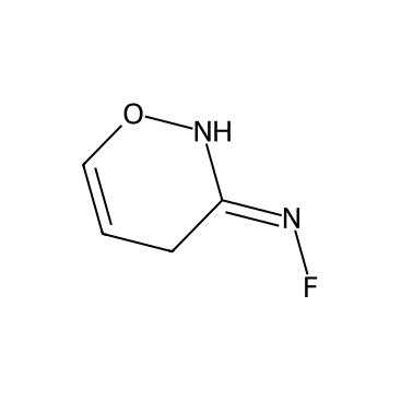 FN=C1CC=CON1